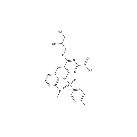 COc1cccc(Oc2c(NS(=O)(=O)c3ccc(C)cn3)nc(C(=O)O)nc2OCC(O)CO)c1